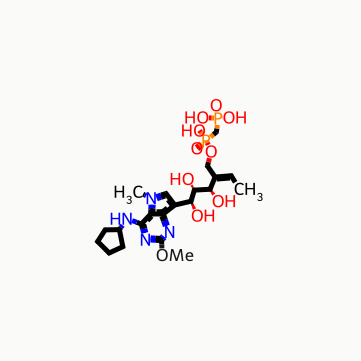 C/C=C(/COP(=O)(O)CP(=O)(O)O)[C@@H](O)[C@@H](O)[C@@H](O)c1cn(C)c2c(NC3CCCC3)nc(OC)nc12